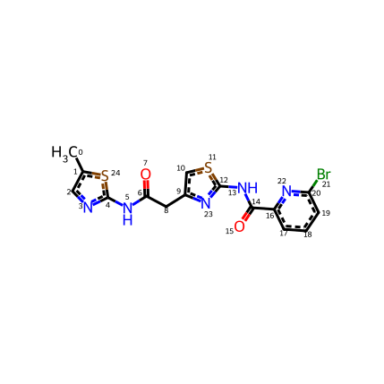 Cc1cnc(NC(=O)Cc2csc(NC(=O)c3cccc(Br)n3)n2)s1